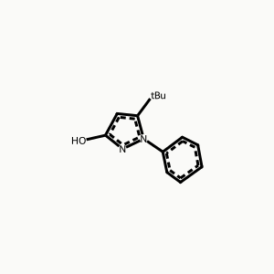 CC(C)(C)c1cc(O)nn1-c1ccccc1